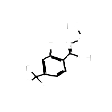 CON=C(C)c1ccc(C(F)(F)F)cc1F